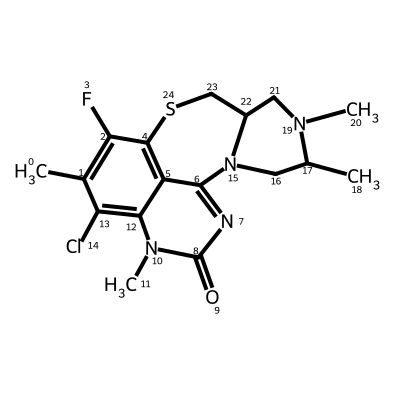 Cc1c(F)c2c3c(nc(=O)n(C)c3c1Cl)N1CC(C)N(C)CC1CS2